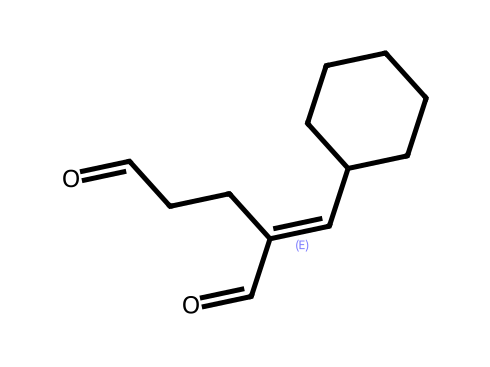 O=CCC/C(C=O)=C\C1CCCCC1